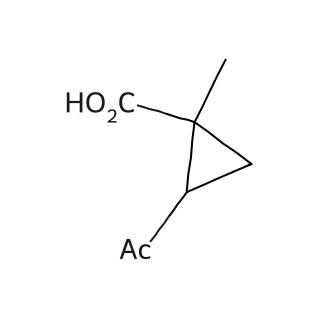 CC(=O)C1CC1(C)C(=O)O